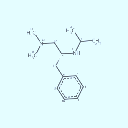 CC(C)N[C@H](Cc1ccccc1)CN(C)C